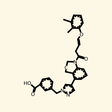 Cc1cccc(OC=CCC(=O)N2CCCc3c(-c4cnn(Cc5cccc(C(=O)O)c5)c4)cccc32)c1C